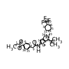 CCS(=O)(=O)c1ccc(CC(=O)Nc2cc3c(s2)C(C(C)C)N(C[C@H]2CC[C@H](C(F)(F)F)CC2)C3)cc1